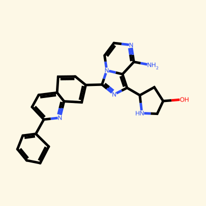 Nc1nccn2c(-c3ccc4ccc(-c5ccccc5)nc4c3)nc(C3CC(O)CN3)c12